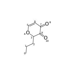 CCCC1OC=CC(=O)C1=O